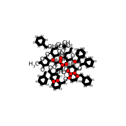 CC(=O)NC1[C@H](C)OC2COC(C)(C)O[C@H]2[C@@H]1O[C@@H]1OC(C)[C@H](OCc2ccccc2)[C@H](O[C@@H]2OC(C)[C@H](OCc3ccccc3)[C@H](OCc3ccccc3)C2O[C@@H]2OC(C)[C@H](OCc3ccccc3)[C@H](O[C@H]3O[C@@H](COCc4ccccc4)[C@@H](OCc4ccccc4)C(OCc4ccccc4)C3OCc3ccccc3)C2O)C1O